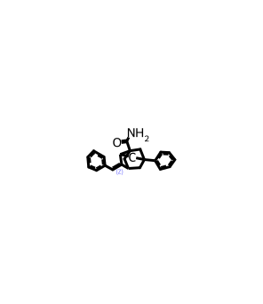 NC(=O)C12CC3CC(c4ccccc4)(CC1/C3=C\c1ccccc1)C2